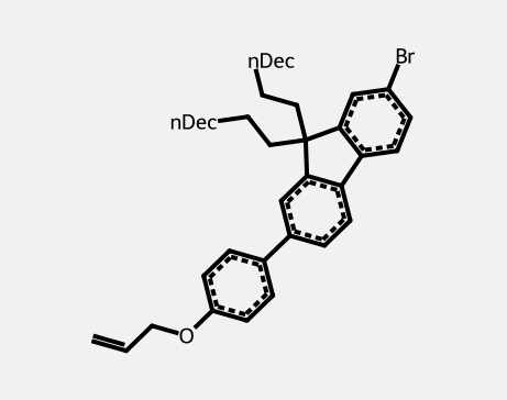 C=CCOc1ccc(-c2ccc3c(c2)C(CCCCCCCCCCCC)(CCCCCCCCCCCC)c2cc(Br)ccc2-3)cc1